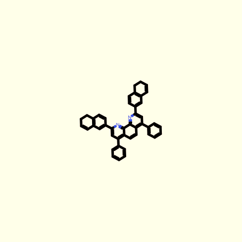 C1=Cc2cc(-c3cc(-c4ccccc4)c4ccc5c(-c6ccccc6)cc(-c6ccc7c(c6)C=CCC7)nc5c4n3)ccc2CC1